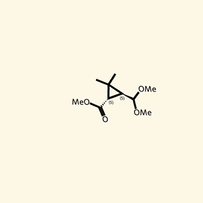 COC(=O)[C@H]1[C@H](C(OC)OC)C1(C)C